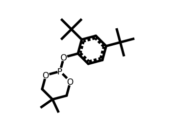 CC1(C)COP(Oc2ccc(C(C)(C)C)cc2C(C)(C)C)OC1